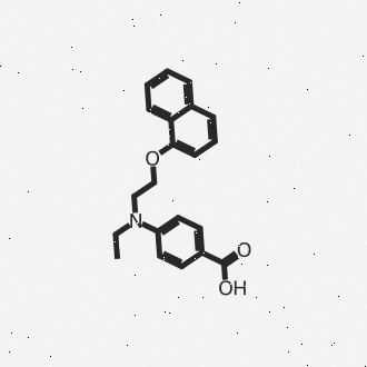 CCN(CCOc1cccc2ccccc12)c1ccc(C(=O)O)cc1